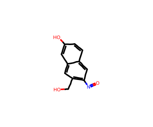 O=Nc1cc2ccc(O)cc2cc1CO